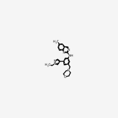 CCn1cc(-c2cc(CN3CCOCC3)cc(Nc3ncc4cc(C)ccc4n3)c2)cn1